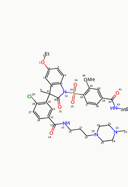 CCOc1ccc2c(c1)C(C)(c1cc(C(=O)NCCCN3CCN(C)CC3)ccc1Cl)C(=O)N2S(=O)(=O)c1ccc(C(=O)NC(C)(C)C)cc1OC